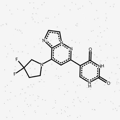 O=c1[nH]cc(-c2cc(N3CCC(F)(F)C3)c3nccn3n2)c(=O)[nH]1